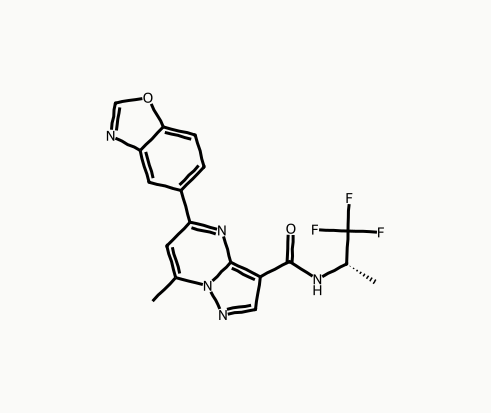 Cc1cc(-c2ccc3ocnc3c2)nc2c(C(=O)N[C@@H](C)C(F)(F)F)cnn12